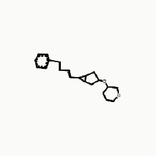 C(=CC1C2CC(OC3CCCOC3)CC12)CCc1ccccc1